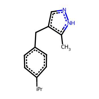 Cc1[nH]ncc1Cc1ccc(C(C)C)cc1